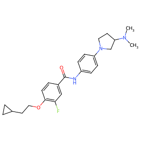 CN(C)C1CCN(c2ccc(NC(=O)c3ccc(OCCC4CC4)c(F)c3)cc2)C1